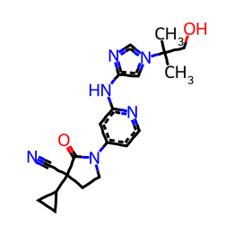 CC(C)(CO)n1cnc(Nc2cc(N3CCC(C#N)(C4CC4)C3=O)ccn2)c1